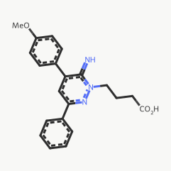 COc1ccc(-c2cc(-c3ccccc3)nn(CCCC(=O)O)c2=N)cc1